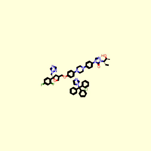 CC[C@@H]([C@H](C)O)n1ncn(-c2ccc(N3CCN(c4ccc(OCC5CO[C@@](Cn6cncn6)(c6ccc(F)cc6F)C5)cc4)CC3)cc2)c1=O.Clc1ccccc1C(c1ccccc1)(c1ccccc1)n1ccnc1